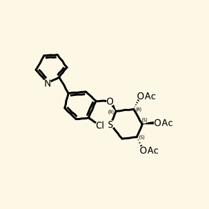 CC(=O)O[C@@H]1[C@@H](OC(C)=O)[C@H](OC(C)=O)CS[C@H]1Oc1cc(-c2ccccn2)ccc1Cl